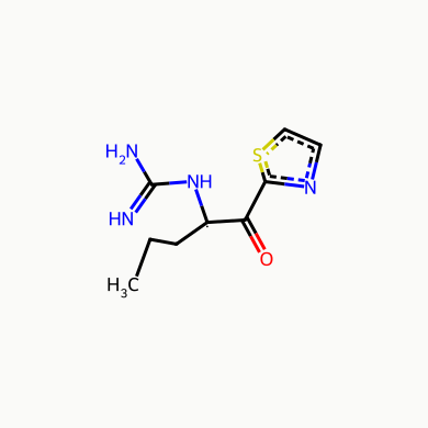 CCC[C](NC(=N)N)C(=O)c1nccs1